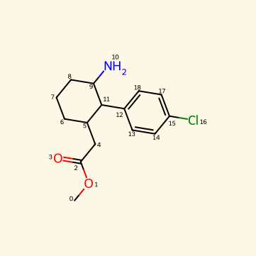 COC(=O)CC1CCCC(N)C1c1ccc(Cl)cc1